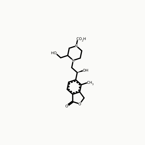 Cc1c([C@H](O)CN2CCN(C(=O)O)CC2CO)ccc2c1COC2=O